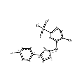 CCS(=O)(=O)c1ccc(Cl)c(Nc2ncc(-c3ccc(F)cc3)o2)c1